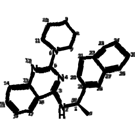 C[C@@H](Nc1nc(N2CCCCC2)nc2ccccc12)c1ccc2ccccc2c1